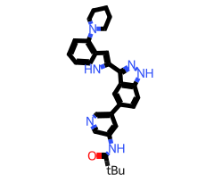 CC(C)(C)C(=O)Nc1cncc(-c2ccc3[nH]nc(-c4cc5c(N6CCCCC6)cccc5[nH]4)c3c2)c1